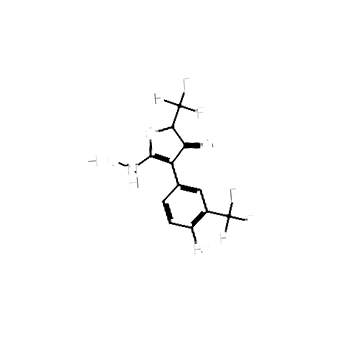 CNC1=C(c2ccc(Br)c(C(F)(F)F)c2)C(=O)C(C(F)(F)F)O1